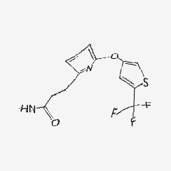 [NH]C(=O)CCc1cccc(Oc2csc(C(F)(F)F)c2)n1